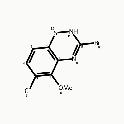 COc1c(Cl)ccc2c1N=C(Br)NS2